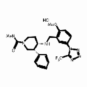 CNC(=O)N1CC[C@H](NCc2cc(-n3nnnc3C(F)(F)F)ccc2OC)[C@H](c2ccccc2)C1.Cl